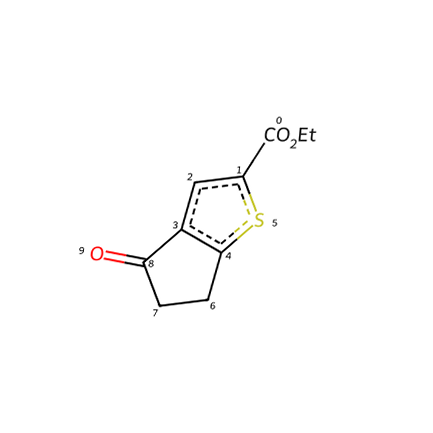 CCOC(=O)c1cc2c(s1)CCC2=O